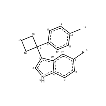 Fc1ccc2[nH]cc(C3(c4ccc(I)cc4)CCC3)c2c1